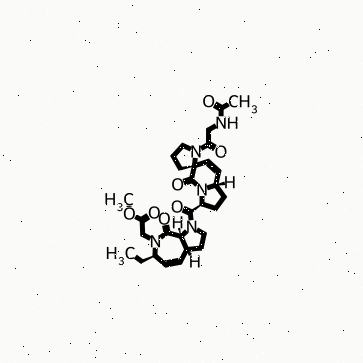 CC[C@@H]1C=C[C@H]2CCN(C(=O)[C@@H]3CC[C@H]4C=C[C@]5(CCCN5C(=O)CNC(C)=O)C(=O)N43)[C@@H]2C(=O)N1CC(=O)OC